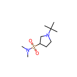 CN(C)S(=O)(=O)C1CCN(C(C)(C)C)C1